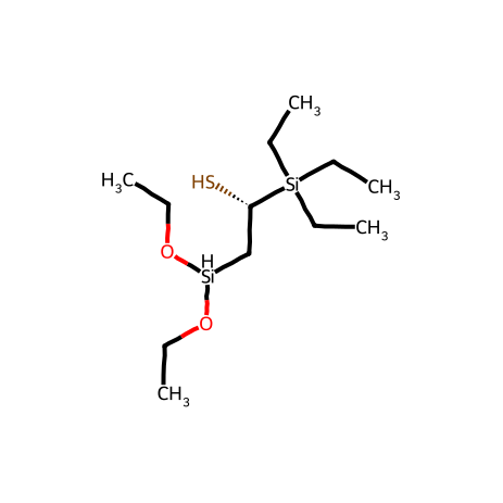 CCO[SiH](C[C@H](S)[Si](CC)(CC)CC)OCC